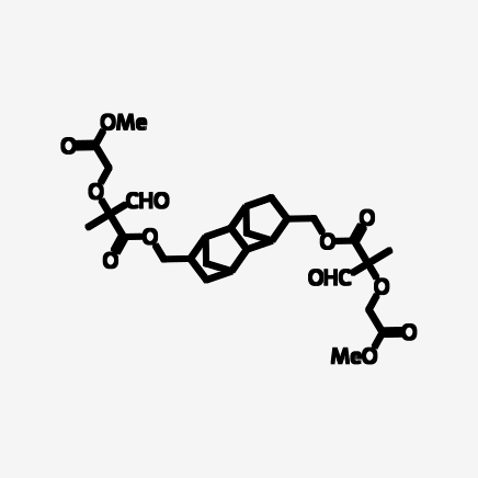 COC(=O)COC(C)(C=O)C(=O)OCC1CC2CC1C1C3CC(COC(=O)C(C)(C=O)OCC(=O)OC)C(C3)C21